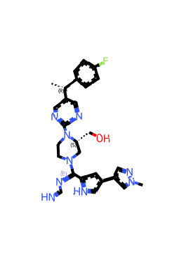 C[C@H](c1ccc(F)cc1)c1cnc(N2CCN(/C(=N/C=N)c3cc(-c4cnn(C)c4)c[nH]3)C[C@H]2CO)nc1